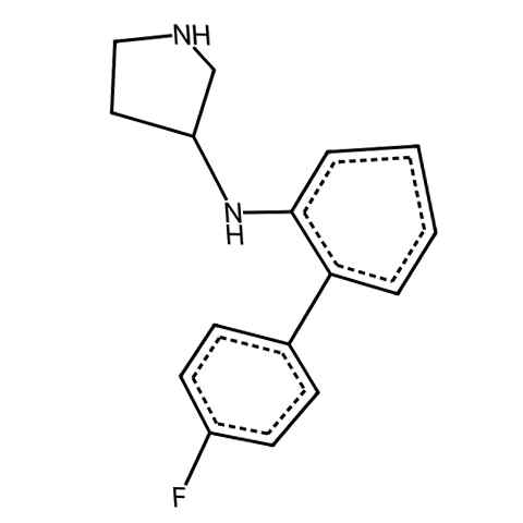 Fc1ccc(-c2ccccc2NC2CCNC2)cc1